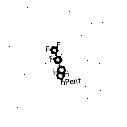 CCCCCC1CC[C@@H]2C[C@H](c3ccc(-c4cc(F)cc(F)c4)c(F)c3)CC[C@@H]2C1